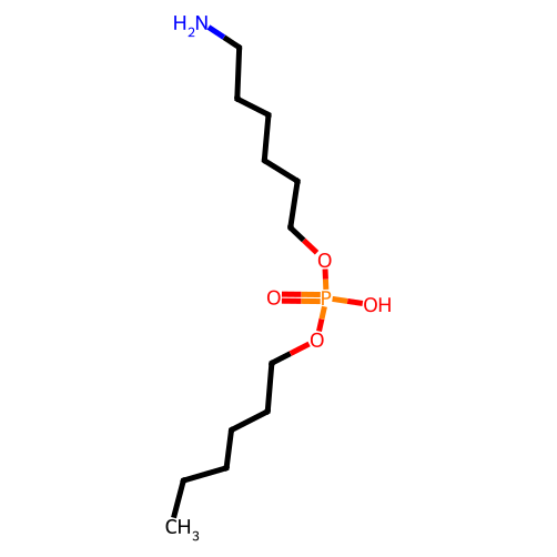 CCCCCCOP(=O)(O)OCCCCCCN